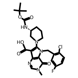 Cn1cnc2c(C(=O)O)c(N3CCC[C@@H](NC(=O)OC(C)(C)C)C3)n(Cc3cc(F)ccc3Cl)c2c1=O